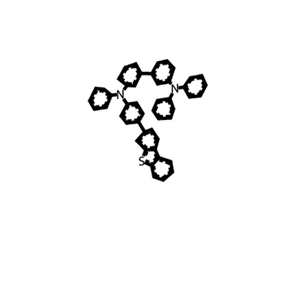 c1ccc(N(c2ccccc2)c2cccc(-c3cccc(N(c4ccccc4)c4ccc(-c5ccc6c(c5)sc5ccccc56)cc4)c3)c2)cc1